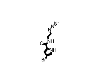 [N-]=[N+]=NCCNC(=O)c1cc(Br)c[nH]1